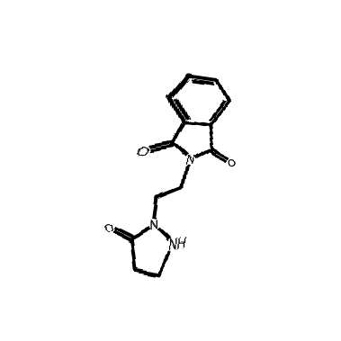 O=C1CCNN1CCN1C(=O)c2ccccc2C1=O